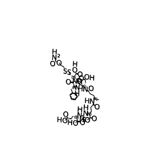 C[C@H](CCC(=O)N[C@@H](CC(=O)O)C(=O)N[C@H](Cc1ccccc1)C(=O)N[C@H](CSSCCOC(N)=O)C(=O)O)NC(=O)CC[C@H](NC(=S)N[C@@H](CCC(=O)O)C(=O)O)C(=O)O